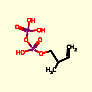 C=CC(C)COP(=O)(O)OP(=O)(O)O